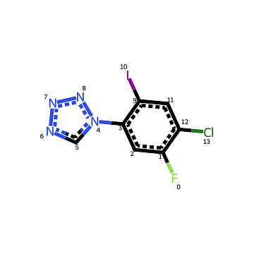 Fc1cc(-n2cnnn2)c(I)cc1Cl